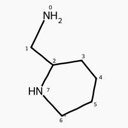 NCC1CCC[CH]N1